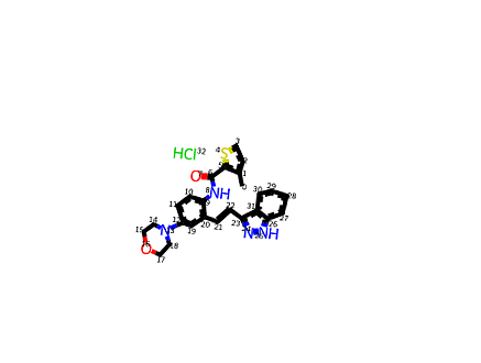 Cc1ccsc1C(=O)Nc1ccc(N2CCOCC2)cc1C=Cc1n[nH]c2ccccc12.Cl